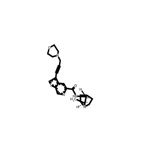 C[C@H]1[C@H](NC(=O)c2cc3c(C#CCN4CCOCC4)csc3cn2)C2CCN1CC2